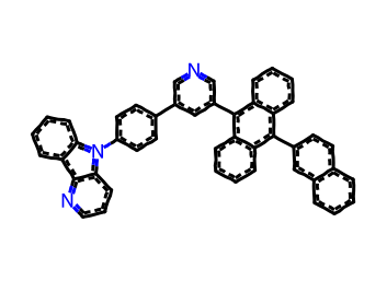 c1ccc2cc(-c3c4ccccc4c(-c4cncc(-c5ccc(-n6c7ccccc7c7ncccc76)cc5)c4)c4ccccc34)ccc2c1